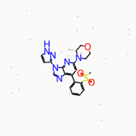 C[C@@H]1COCCN1c1cc(-c2ccccc2S(C)(=O)=O)c2ncn(-c3cc[nH]n3)c2n1